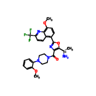 COc1ccccc1N1CCN(C(=O)c2nc(-c3ccc(OC)c4nc(C(F)(F)F)ccc34)oc2[C@H](C)N)CC1